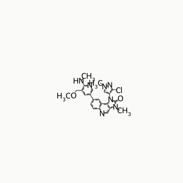 CNc1ncc(-c2ccc3ncc4c(c3c2)n(-c2cn(C)nc2Cl)c(=O)n4C)cc1COC